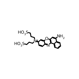 Nc1cc2oc3cc(=[N+](CCCS(=O)(=O)O)CCCS(=O)(=O)O)ccc-3nc2c2ccccc12